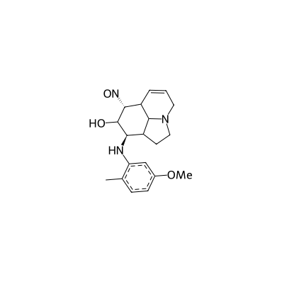 COc1ccc(C)c(N[C@@H]2C3CCN4CC=CC(C34)[C@@H](N=O)C2O)c1